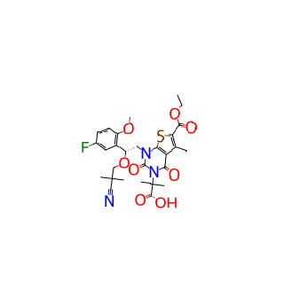 CCOC(=O)c1sc2c(c1C)c(=O)n(C(C)(C)C(=O)O)c(=O)n2C[C@H](OCC(C)(C)C#N)c1cc(F)ccc1OC